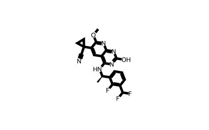 COc1nc2nc(O)nc(N[C@H](C)c3cccc(C(F)F)c3F)c2cc1C1(C#N)CC1